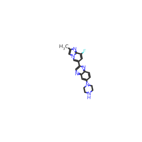 Cc1cn2cc(-c3cnc4cc(N5CCNCC5)ccc4n3)cc(F)c2n1